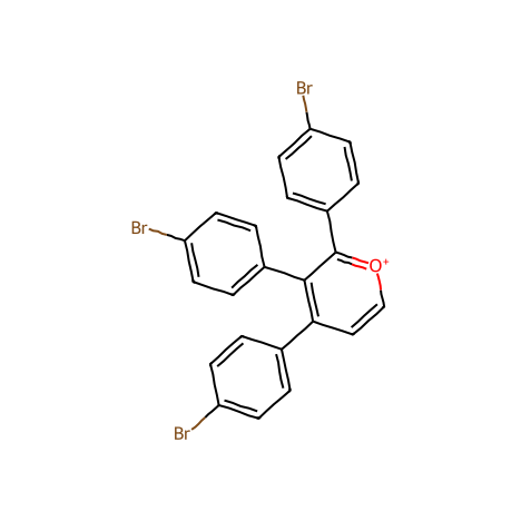 Brc1ccc(-c2cc[o+]c(-c3ccc(Br)cc3)c2-c2ccc(Br)cc2)cc1